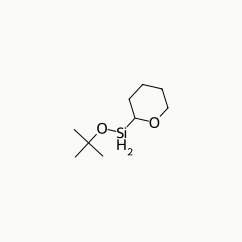 CC(C)(C)O[SiH2]C1CCCCO1